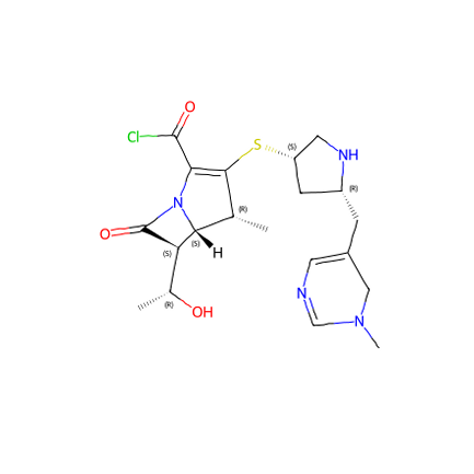 C[C@@H](O)[C@H]1C(=O)N2C(C(=O)Cl)=C(S[C@@H]3CN[C@H](CC4=CN=CN(C)C4)C3)[C@H](C)[C@H]12